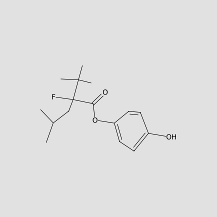 CC(C)CC(F)(C(=O)Oc1ccc(O)cc1)C(C)(C)C